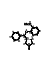 COc1cccnc1O[C@H](c1ccccc1)[C@@H]1CCNC1